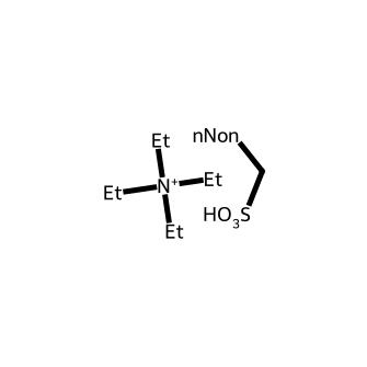 CCCCCCCCCCS(=O)(=O)O.CC[N+](CC)(CC)CC